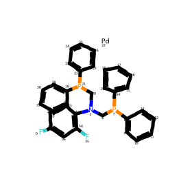 Fc1ccc(N(CP(c2ccccc2)c2ccccc2)CP(c2ccccc2)c2ccccc2)c(F)c1.[Pd]